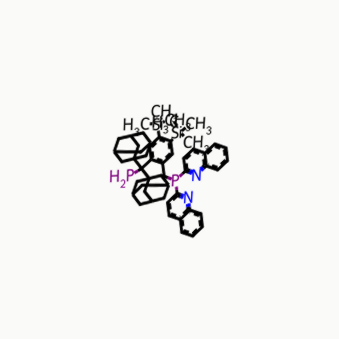 C[Si](C)(C)c1cc(CP(c2ccc3ccccc3n2)c2ccc3ccccc3n2)c(C(P)(C23CC4CC(CC(C4)C2)C3)C23CC4CC(CC(C4)C2)C3)cc1[Si](C)(C)C